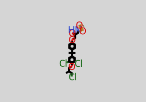 CC(CCl)COc1c(Cl)cc(C(C)(C)c2ccc(OCC(=O)CNS(C)(=O)=O)cc2)cc1Cl